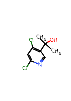 CC(C)(O)c1cnc(Cl)cc1Cl